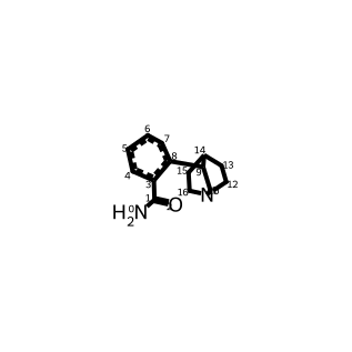 NC(=O)c1ccccc1C1CN2CCC1CC2